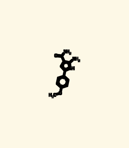 COc1ccc(-c2cc(C(N)=O)c(N)[nH]2)cc1